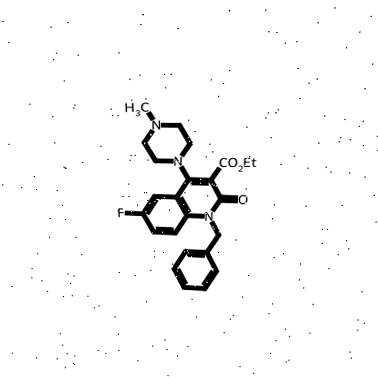 CCOC(=O)c1c(N2CCN(C)CC2)c2cc(F)ccc2n(Cc2ccccc2)c1=O